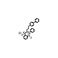 c1ccc([SiH2]C(CCCc2ccc(-c3ccccc3)cc2)[SiH2]c2ccccc2)cc1